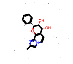 Cc1cn2ccc3c(c2n1)O[C@H](c1ccccc1)[C@H](O)[C@@H]3O